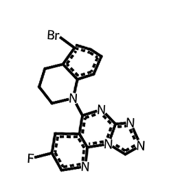 Fc1cnc2c(c1)c(N1CCCc3c(Br)cccc31)nc1nncn12